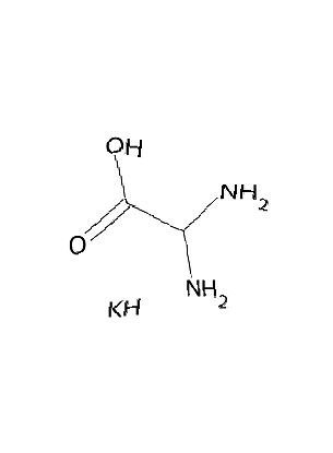 NC(N)C(=O)O.[KH]